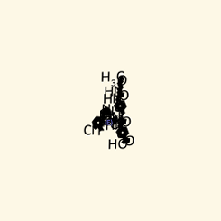 COCCNC(=O)Nc1ccc(C[C@H](NC(=O)/C=C/c2c(-n3cnnn3)ccc(Cl)c2F)C(=O)Nc2ccc(C(=O)O)cc2)cc1